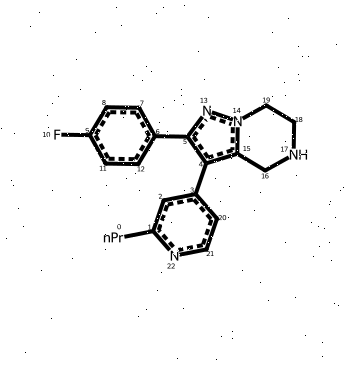 CCCc1cc(-c2c(-c3ccc(F)cc3)nn3c2CNCC3)ccn1